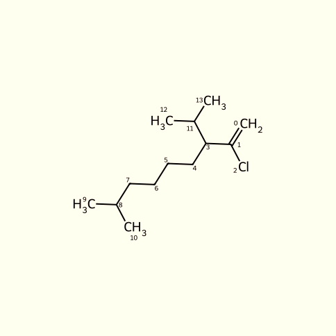 C=C(Cl)C(CCCCC(C)C)C(C)C